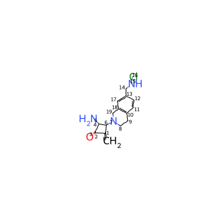 C=C1C(=O)C(N)C1N1CCc2ccc(CNCl)cc2C1